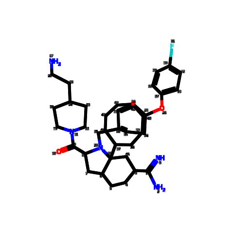 N=C(N)C1CCC2CC(C(=O)N3CCC(CCN)CC3)N(Cc3ccc(Oc4ccc(F)cc4)cc3)C2(C2CCCCCCC2)C1